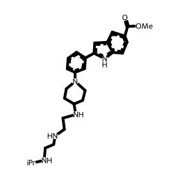 COC(=O)c1ccc2[nH]c(-c3cccc(N4CCC(NCCNCCNC(C)C)CC4)c3)cc2c1